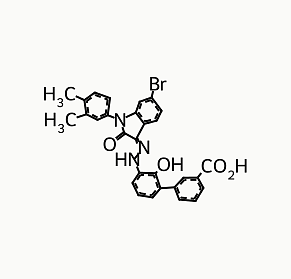 Cc1ccc(N2C(=O)C(=NNc3cccc(-c4cccc(C(=O)O)c4)c3O)c3ccc(Br)cc32)cc1C